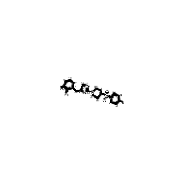 Cc1ccc(S(=O)(=O)C2CCN(c3nc(Cc4cccc(C)c4C)cs3)CC2)cc1